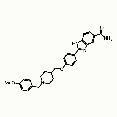 COc1ccc(CN2CCC(COc3ccc(-c4nc5cc(C(N)=O)ccc5[nH]4)cc3)CC2)cc1